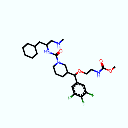 CNCC(CC1CCCCC1)NC(=O)N1CCCC(C(OCCNC(=O)OC)c2cc(F)c(F)c(F)c2)C1